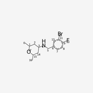 CC1CC(NCc2ccc(F)c(Br)c2)CC(C)O1